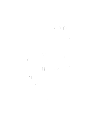 CCOC(=O)c1ccc(Cl)c(S(=O)(=O)n2c(C)nc3ccccc32)c1